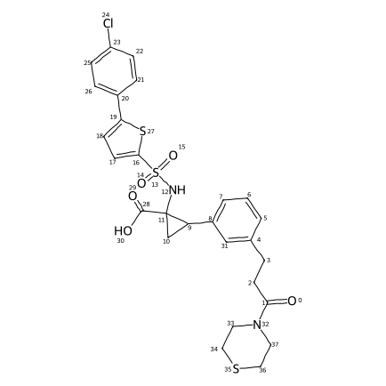 O=C(CCc1cccc(C2CC2(NS(=O)(=O)c2ccc(-c3ccc(Cl)cc3)s2)C(=O)O)c1)N1CCSCC1